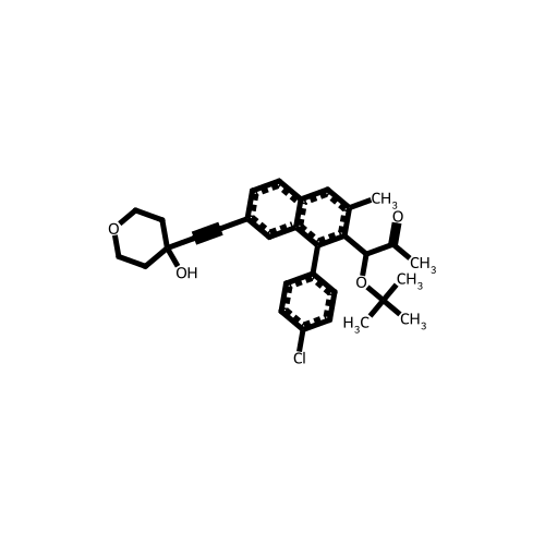 CC(=O)C(OC(C)(C)C)c1c(C)cc2ccc(C#CC3(O)CCOCC3)cc2c1-c1ccc(Cl)cc1